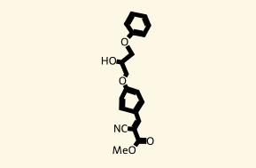 COC(=O)/C(C#N)=C/c1ccc(OCC(O)COc2ccccc2)cc1